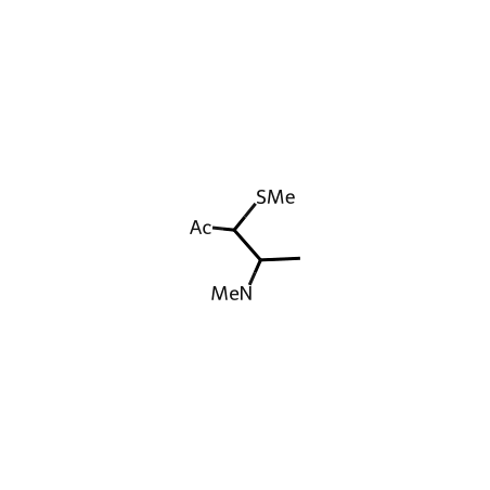 CNC(C)C(SC)C(C)=O